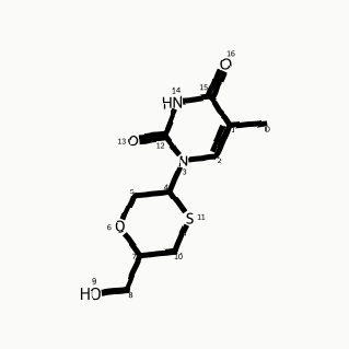 Cc1cn(C2COC(CO)CS2)c(=O)[nH]c1=O